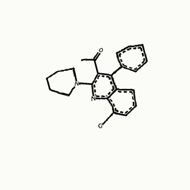 CC(=O)c1c(N2CCCCC2)nc2c(Cl)cccc2c1-c1ccccc1